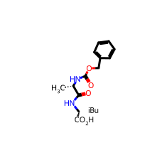 CC[C@H](C)[C@H](NC(=O)[C@H](C)NC(=O)OCc1ccccc1)C(=O)O